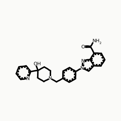 NC(=O)c1cccc2cn(-c3ccc(CN4CCC(O)(c5ccccn5)CC4)cc3)nc12